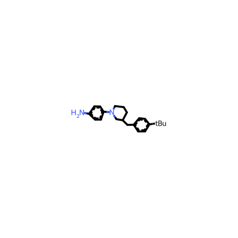 CC(C)(C)c1ccc(CC2CCCN(c3ccc(N)cc3)C2)cc1